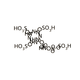 O=S(=O)(O)OCCS(=O)(=O)c1ccc(NS(=O)(=O)c2ccc3c4nc5nc(nc6[nH]c(nc7nc(nc([nH]4)c3c2)-c2ccc(S(=O)(=O)O)cc2-7)c2ccc(S(=O)(=O)O)cc62)-c2ccc(S(=O)(=O)O)cc2-5)cc1